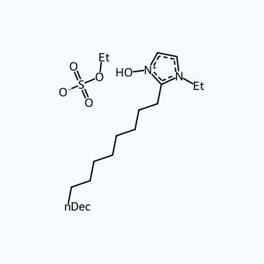 CCCCCCCCCCCCCCCCCCc1n(CC)cc[n+]1O.CCOS(=O)(=O)[O-]